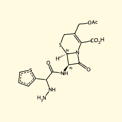 CC(=O)OCC1=C(C(=O)O)N2C(=O)[C@@H](NC(=O)C(NN)c3cccs3)[C@H]2SC1